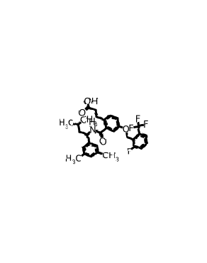 Cc1cc(C)cc(C(CC(C)C)NC(=O)c2cc(OCc3c(F)cccc3C(F)(F)F)ccc2CCC(=O)O)c1